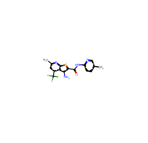 Cc1ccc(NC(=O)c2sc3nc(C)cc(C(F)(F)F)c3c2N)nc1